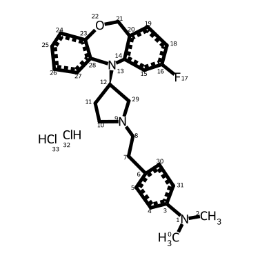 CN(C)c1ccc(CCN2CC[C@@H](N3c4cc(F)ccc4COc4ccccc43)C2)cc1.Cl.Cl